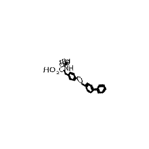 CC(C)(C)OC(=O)NC(Cc1ccc(OCc2ccc(-c3ccccc3)cc2)cc1)C(=O)O